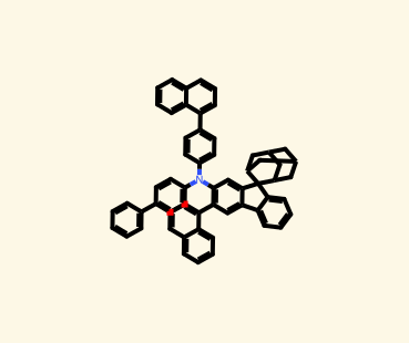 c1ccc(-c2ccc(N(c3ccc(-c4cccc5ccccc45)cc3)c3cc4c(cc3-c3cccc5ccccc35)-c3ccccc3C43C4CC5CC(C4)CC3C5)cc2)cc1